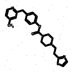 Cc1ccnc(Cc2ccc(OC(=O)N3CCN(CCc4nccs4)CC3)cc2)c1